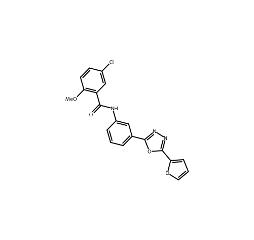 COc1ccc(Cl)cc1C(=O)Nc1cccc(-c2nnc(-c3ccco3)o2)c1